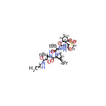 C=CCNC(=O)C(=O)[C@H](CCCC)NC(=O)[C@@H]1C2C(CN1C(=O)[C@@H](NC(=O)NC1(C3COCCS3(=O)=O)CCCCC1)C(C)(C)C)C2C(C)C